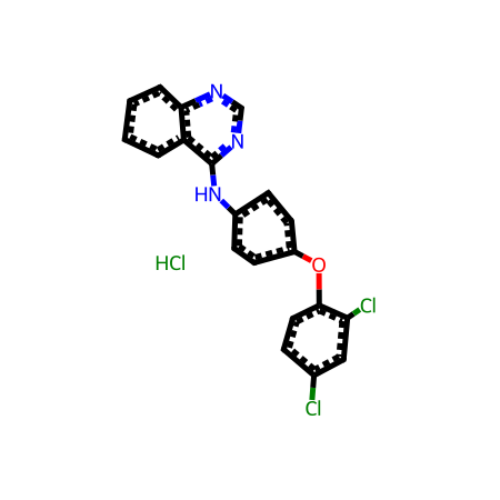 Cl.Clc1ccc(Oc2ccc(Nc3ncnc4ccccc34)cc2)c(Cl)c1